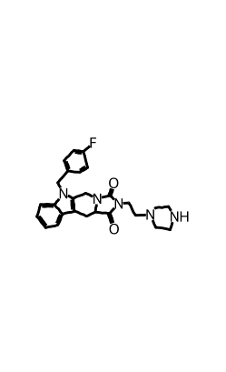 O=C1C2Cc3c(n(Cc4ccc(F)cc4)c4ccccc34)CN2C(=O)N1CCN1CCNCC1